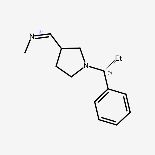 CC[C@H](c1ccccc1)N1CCC(/C=N\C)C1